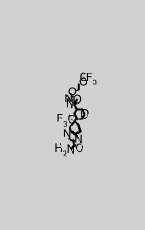 NC(=O)c1cnc2c(n1)C=C[C@@]([C@@H]1COCC(c3nnc(OCCOC(F)(F)F)o3)C1)(C(F)(F)F)C2